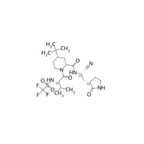 CC(C)[C@H](NS(=O)(=O)C(F)(F)F)C(=O)N1CCC(C(C)(C)C)CC1C(=O)N[C@H](C#N)C[C@@H]1CCNC1=O